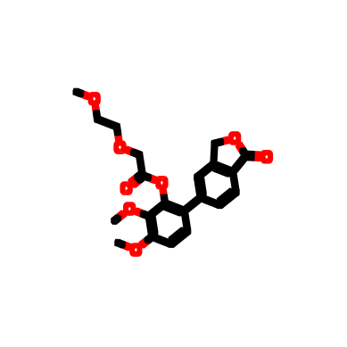 COCCOCC(=O)Oc1c(-c2ccc3c(c2)COC3=O)ccc(OC)c1OC